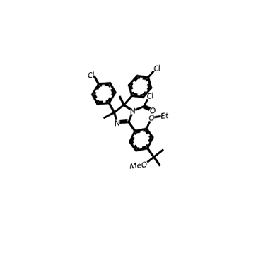 CCOc1cc(C(C)(C)OC)ccc1C1=NC(C)(c2ccc(Cl)cc2)C(C)(c2ccc(Cl)cc2)N1C(=O)Cl